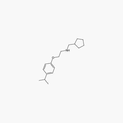 CC(C)c1ccc(OCCNCC2CCCC2)cc1